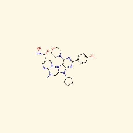 COc1ccc(-c2nc(N3CCOCC3)c3c(n2)N(C2CCCC2)C(CN(C)c2ncc(C(=O)NO)cn2)N3)cc1